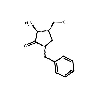 N[C@@H]1C(=O)N(Cc2ccccc2)C[C@@H]1CO